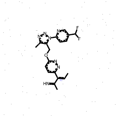 C/C=C(/C(C)=N)c1ccc(OCc2c(C)nnn2-c2ccc(C(F)F)cn2)nn1